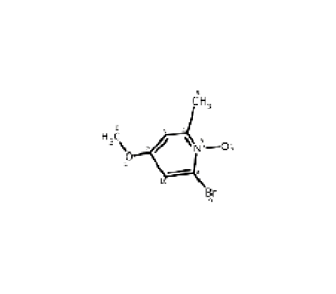 COc1cc(C)[n+]([O-])c(Br)c1